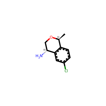 C[C@@H]1OC[C@@H](N)c2cc(Cl)ccc21